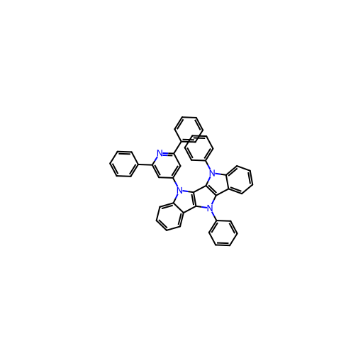 c1ccc(-c2cc(-n3c4ccccc4c4c3c3c(c5ccccc5n3-c3ccccc3)n4-c3ccccc3)cc(-c3ccccc3)n2)cc1